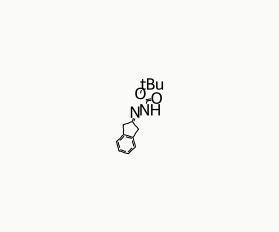 CC(C)(C)OC(=O)NN=C1Cc2ccccc2C1